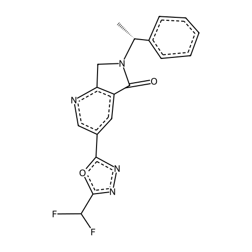 C[C@H](c1ccccc1)N1Cc2ncc(-c3nnc(C(F)F)o3)cc2C1=O